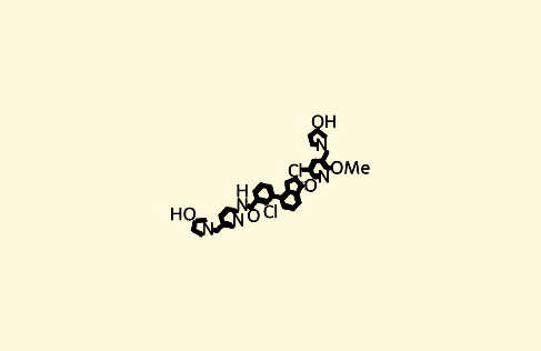 COc1nc(O[C@H]2CCc3c(-c4cccc(C(=O)Nc5ccc(CN6CCC(O)C6)cn5)c4Cl)cccc32)c(Cl)cc1CN1CCC(O)C1